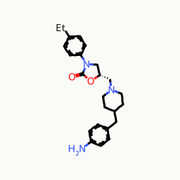 CCc1ccc(N2C[C@H](CN3CCC(Cc4ccc(N)cc4)CC3)OC2=O)cc1